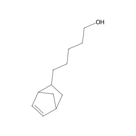 OCCCCCC1CC2C=CC1C2